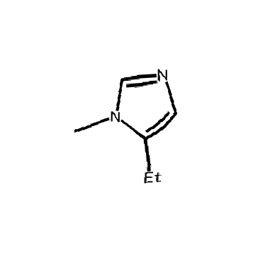 [CH2]Cc1cncn1C